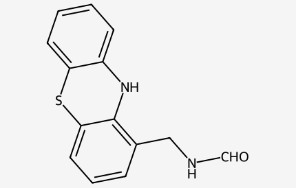 O=CNCc1cccc2c1Nc1ccccc1S2